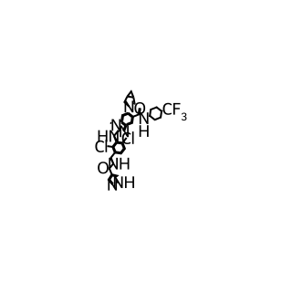 Cn1c(Nc2c(Cl)ccc(CNC(=O)c3cn[nH]c3)c2Cl)nc2cc(C(=O)N[C@H]3CC[C@H](C(F)(F)F)CC3)c(N3CC4CC4C3)cc21